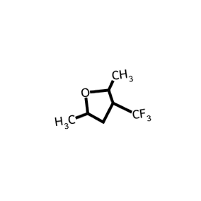 CC1CC(C(F)(F)F)C(C)O1